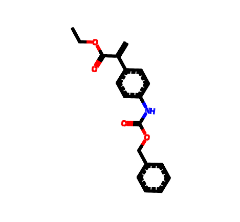 C=C(C(=O)OCC)c1ccc(NC(=O)OCc2ccccc2)cc1